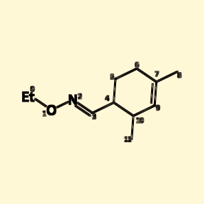 CCO/N=C/C1CCC(C)=CC1C